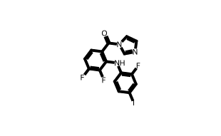 O=C(c1ccc(F)c(F)c1Nc1ccc(I)cc1F)n1ccnc1